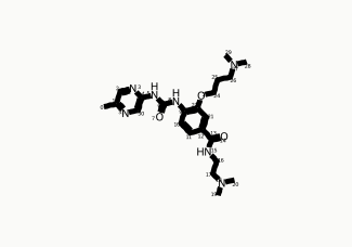 Cc1cnc(NC(=O)Nc2ccc(C(=O)NCCN(C)C)cc2OCCCN(C)C)cn1